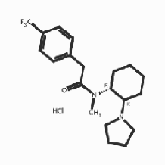 CN(C(=O)Cc1ccc(C(F)(F)F)cc1)[C@@H]1CCCC[C@H]1N1CCCC1.Cl